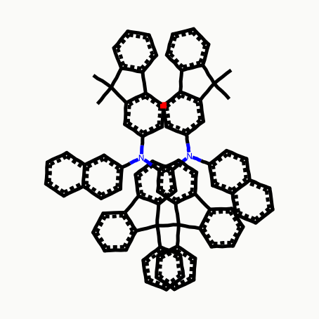 CC1(C)c2ccccc2-c2ccc(N(c3ccc4c(c3)C(c3ccccc3)(C3(c5ccccc5)c5ccccc5-c5ccc(N(c6ccc7c(c6)C(C)(C)c6ccccc6-7)c6ccc7ccccc7c6)cc53)c3ccccc3-4)c3ccc4ccccc4c3)cc21